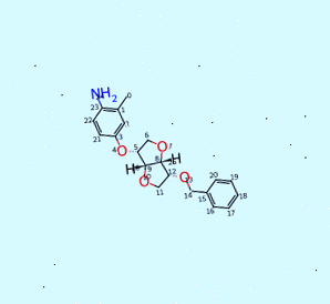 Cc1cc(O[C@@H]2CO[C@H]3[C@@H]2OC[C@H]3OCc2ccccc2)ccc1N